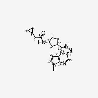 O=C(CC1CC1)N[C@H]1CC[C@@H](c2nnc3cnc4[nH]ccc4n23)C1